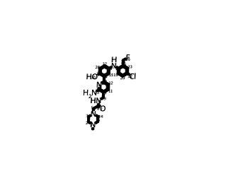 CN1CCN(CC(=O)NCc2ccc(-c3cc(Nc4ccc(Cl)cc4CF)ccc3O)nc2N)CC1